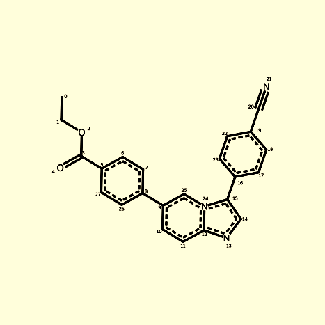 CCOC(=O)c1ccc(-c2ccc3ncc(-c4ccc(C#N)cc4)n3c2)cc1